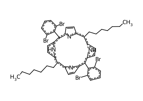 CCCCCCCc1c2nc(c(-c3c(Br)cccc3Br)c3ccc([nH]3)c(CCCCCCC)c3nc(c(-c4c(Br)cccc4Br)c4ccc1[nH]4)C=C3)C=C2